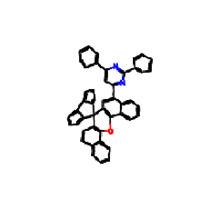 c1ccc(-c2cc(-c3cc4c(c5ccccc35)Oc3c(ccc5ccccc35)C43c4ccccc4-c4ccccc43)nc(-c3ccccc3)n2)cc1